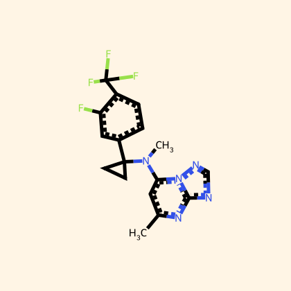 Cc1cc(N(C)C2(c3ccc(C(F)(F)F)c(F)c3)CC2)n2ncnc2n1